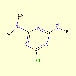 CCNc1nc(Cl)nc(N(C#N)C(C)C)n1